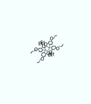 C=CCOc1ccc(C2(c3ccc(OCC=C)cc3OCC)CCC(c3ccc(OCC=C)cc3OCC)(c3ccc(OCC=C)cc3OCC)CC2)c(OCC)c1